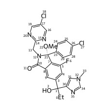 CCC(O)(c1cc(F)c2c(c1)C(=O)N(Cc1ncc(Cl)cn1)[C@@]2(OC)c1ccc(Cl)cc1)c1cn(C)cn1